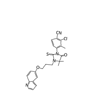 Cc1c(N2C(=O)C(C)(C)N(CCCOc3ccc4ncccc4c3)C2=S)ccc(C#N)c1Cl